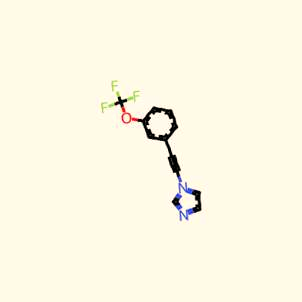 FC(F)(F)Oc1cccc(C#Cn2ccnc2)c1